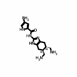 Bc1c[nH]c(C(=O)Nc2nc3c([nH]2)C[C@H](CN)[C@@H](CN)C3)c1